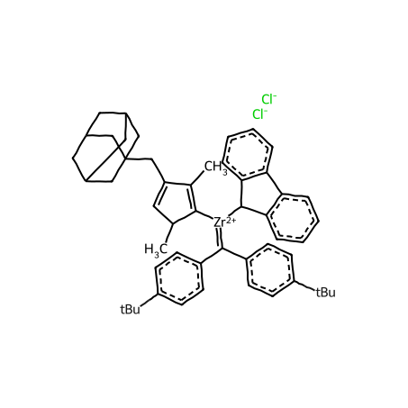 CC1=[C]([Zr+2](=[C](c2ccc(C(C)(C)C)cc2)c2ccc(C(C)(C)C)cc2)[CH]2c3ccccc3-c3ccccc32)C(C)C=C1CC12CC3CC(CC(C3)C1)C2.[Cl-].[Cl-]